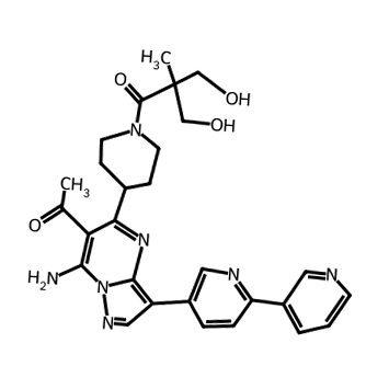 CC(=O)c1c(C2CCN(C(=O)C(C)(CO)CO)CC2)nc2c(-c3ccc(-c4cccnc4)nc3)cnn2c1N